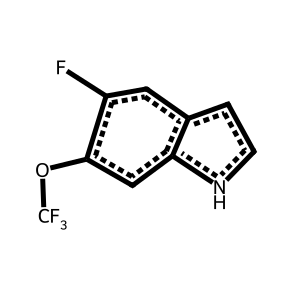 Fc1cc2cc[nH]c2cc1OC(F)(F)F